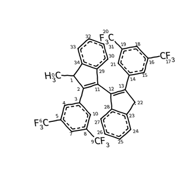 CC1C(c2cc(C(F)(F)F)cc(C(F)(F)F)c2)=C(C2=C(c3cc(C(F)(F)F)cc(C(F)(F)F)c3)[CH]c3ccccc32)c2ccccc21